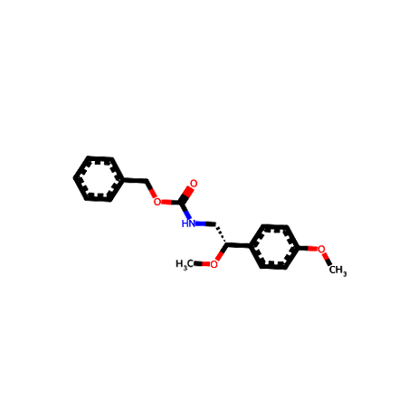 COc1ccc([C@@H](CNC(=O)OCc2ccccc2)OC)cc1